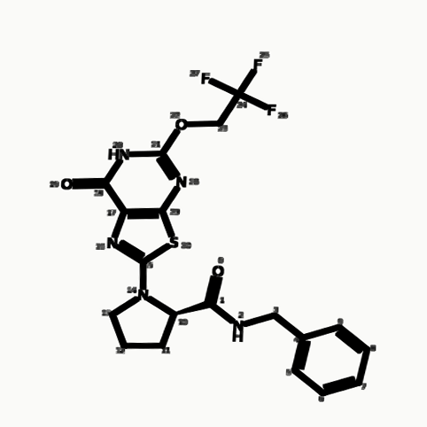 O=C(NCc1ccccc1)[C@H]1CCCN1c1nc2c(=O)[nH]c(OCC(F)(F)F)nc2s1